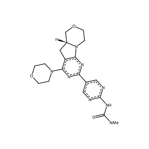 CNC(=O)Nc1ncc(-c2nc(N3CCOCC3)c3c(n2)N2CCOC[C@H]2C3)cn1